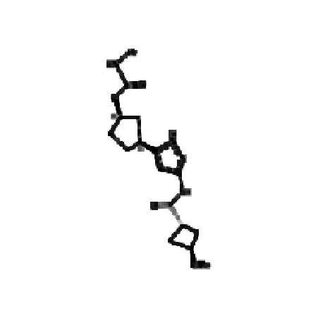 CO[C@H]1C[C@H](C(=O)Nc2cc([C@H]3CC[C@@H](OC(=O)NC(C)C)C3)[nH]n2)C1